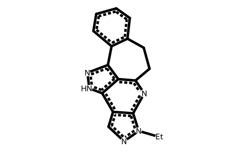 CCn1ncc2c3[nH]nc4c3c(nc21)CCc1ccccc1-4